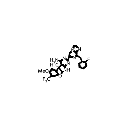 COc1cc(C2(C)C(=O)Nc3nc(-c4cn5ccnc5c(Cc5ccccc5F)n4)nc(N)c32)ccc1C(F)(F)F